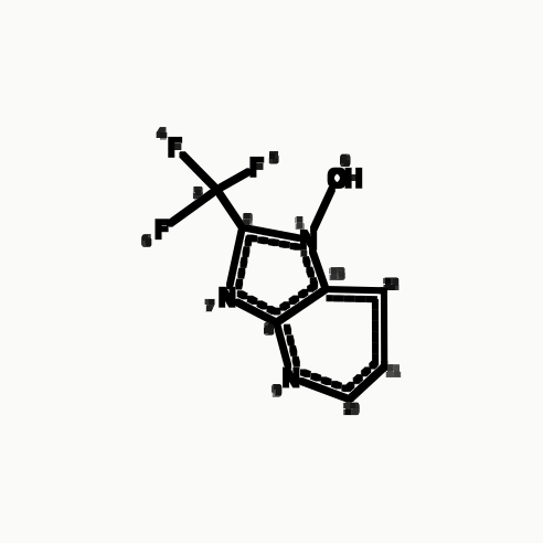 On1c(C(F)(F)F)nc2ncccc21